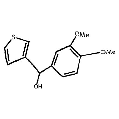 COc1ccc(C(O)c2ccsc2)cc1OC